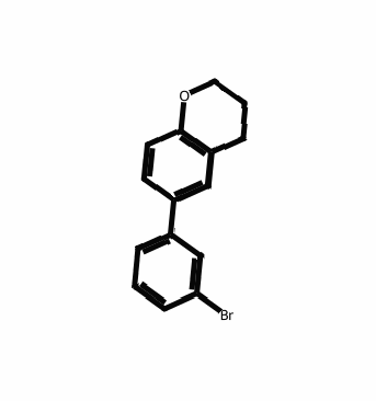 Brc1cccc(-c2ccc3c(c2)CCCO3)c1